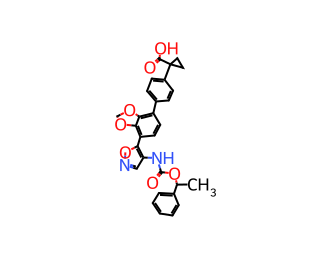 CC(OC(=O)Nc1cnoc1-c1ccc(-c2ccc(C3(C(=O)O)CC3)cc2)c2c1OCO2)c1ccccc1